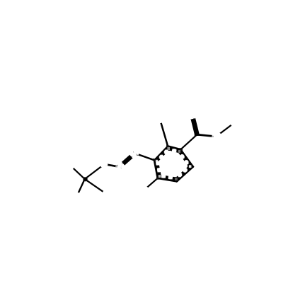 COC(=O)c1ccc(F)c(N=NSC(C)(C)C)c1C